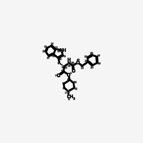 CN1CCC(OC(=O)[C@H](Cc2c[nH]c3ccccc23)NC(=O)OCc2ccccc2)CC1